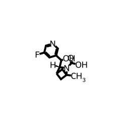 CC12CC(C1)[C@H](C(O)c1cncc(F)c1)N2C(=O)O